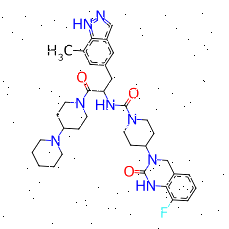 Cc1cc(CC(NC(=O)N2CCC(N3Cc4cccc(F)c4NC3=O)CC2)C(=O)N2CCC(N3CCCCC3)CC2)cc2cn[nH]c12